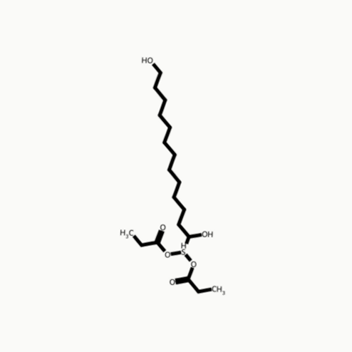 CCC(=O)O[SH](OC(=O)CC)C(O)CCCCCCCCCCCCO